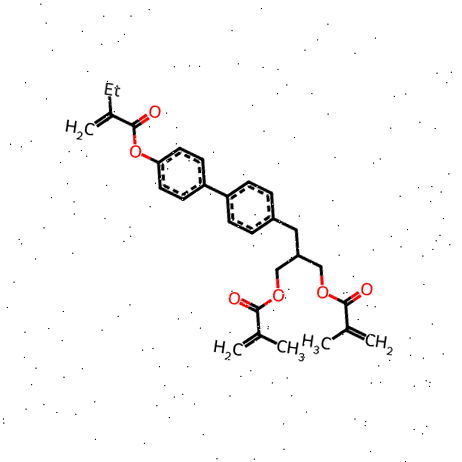 C=C(C)C(=O)OCC(COC(=O)C(=C)C)Cc1ccc(-c2ccc(OC(=O)C(=C)CC)cc2)cc1